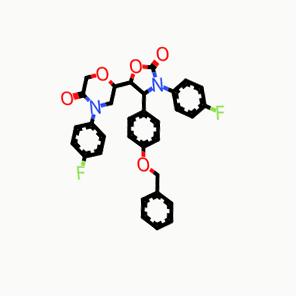 O=C1COC(C2OC(=O)N(c3ccc(F)cc3)C2c2ccc(OCc3ccccc3)cc2)CN1c1ccc(F)cc1